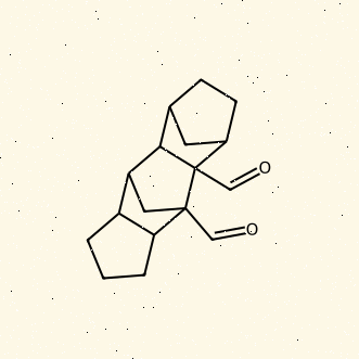 O=CC12CC(C3CCCC31)C1C3CCC(C3)C12C=O